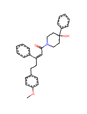 COc1ccc(CC/C(=C/C(=O)N2CCC(O)(c3ccccc3)CC2)c2ccccc2)cc1